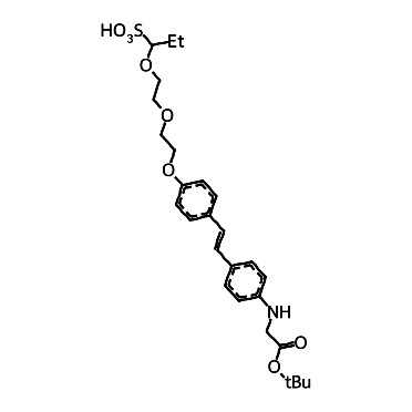 CCC(OCCOCCOc1ccc(/C=C/c2ccc(NCC(=O)OC(C)(C)C)cc2)cc1)S(=O)(=O)O